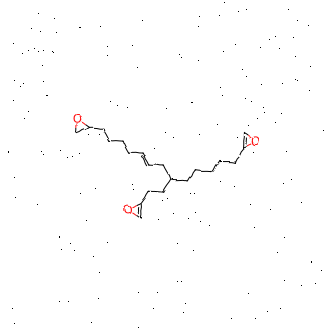 C(=CCC(CCCCCC1=CO1)CCC1=CO1)CCCCC1CO1